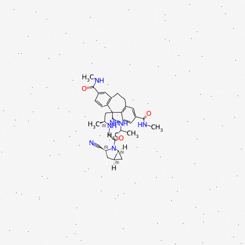 CNC(=O)c1ccc2c(c1)CCc1cc(C(=O)NC)ccc1C2(C[C@H](C)NCC(=O)N1[C@H](C#N)C[C@@H]2C[C@@H]21)C(=N)NC(C)C